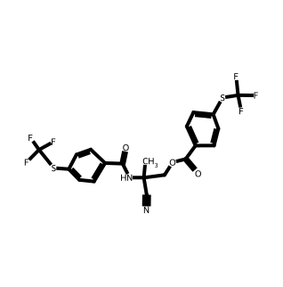 CC(C#N)(COC(=O)c1ccc(SC(F)(F)F)cc1)NC(=O)c1ccc(SC(F)(F)F)cc1